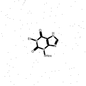 CCCCCCn1c(=O)n(CC)c(=O)c2[nH]cnc21